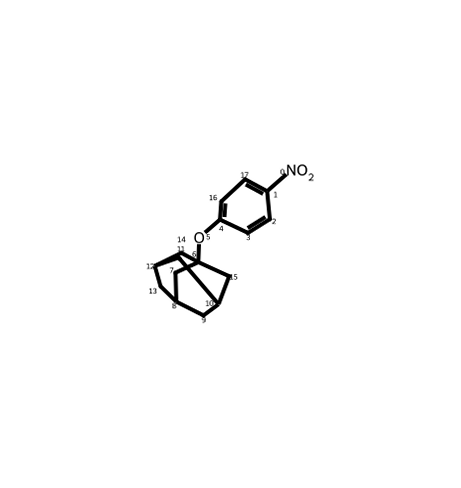 O=[N+]([O-])c1ccc(OC23CC4CC(CC(C4)C2)C3)cc1